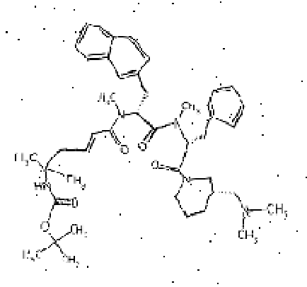 CN(C)C[C@@H]1CCCN(C(=O)[C@@H](Cc2ccccc2)N(C)C(=O)[C@@H](Cc2ccc3ccccc3c2)N(C)C(=O)C=CCC(C)(C)NC(=O)OC(C)(C)C)C1